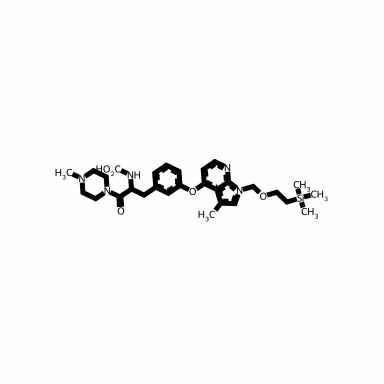 Cc1cn(COCC[Si](C)(C)C)c2nccc(Oc3cccc(CC(NC(=O)O)C(=O)N4CCN(C)CC4)c3)c12